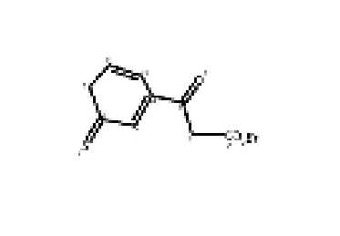 CCOC(=O)CC(=O)C1=CC(=S)CC=C1